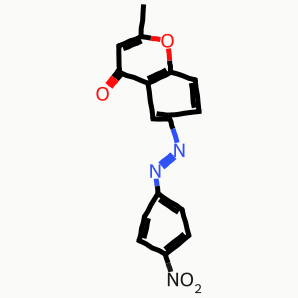 Cc1cc(=O)c2cc(N=Nc3ccc([N+](=O)[O-])cc3)ccc2o1